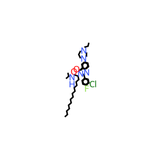 CCCCCCCCCCCCCCC(C(=O)NC(C)C)n1c(-c2ccc(F)c(Cl)c2)nc2ccc(N3CCCN(CCC)CC3)cc2c1=O